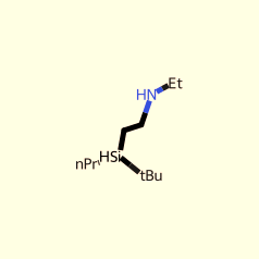 CCC[SiH](CCNCC)C(C)(C)C